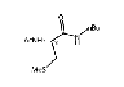 CCCCNC(=O)[C@H](CSC)NC(C)=O